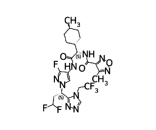 Cc1nonc1C(=O)N[C@H](C(=O)Nc1cn([C@@H](CC(F)F)c2nncn2CC(F)(F)F)nc1F)[C@H]1CC[C@H](C)CC1